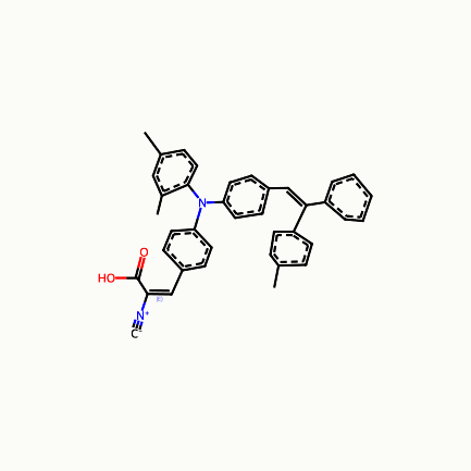 [C-]#[N+]/C(=C/c1ccc(N(c2ccc(C=C(c3ccccc3)c3ccc(C)cc3)cc2)c2ccc(C)cc2C)cc1)C(=O)O